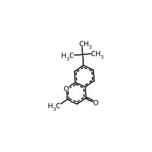 Cc1cc(=O)c2ccc(C(C)(C)C)cc2o1